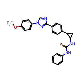 FC(F)(F)Oc1ccc(-n2cnc(-c3ccc(C4CC4NC(=S)Nc4ccccc4)cc3)n2)cc1